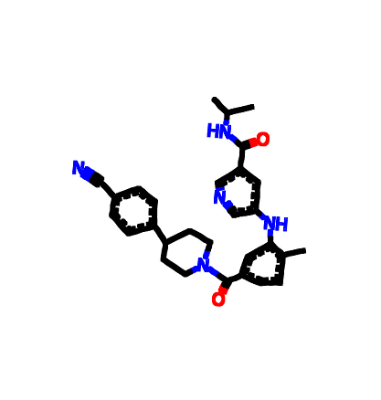 Cc1ccc(C(=O)N2CCC(c3ccc(C#N)cc3)CC2)cc1Nc1cncc(C(=O)NC(C)C)c1